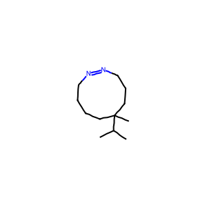 CC(C)C1(C)CCCC/N=N\CCC1